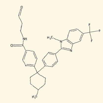 CC1CCC(c2ccc(C(=O)NCCC=O)cc2)(c2ccc(-c3nc4cc(C(F)(F)F)ccc4n3C)cc2)CC1